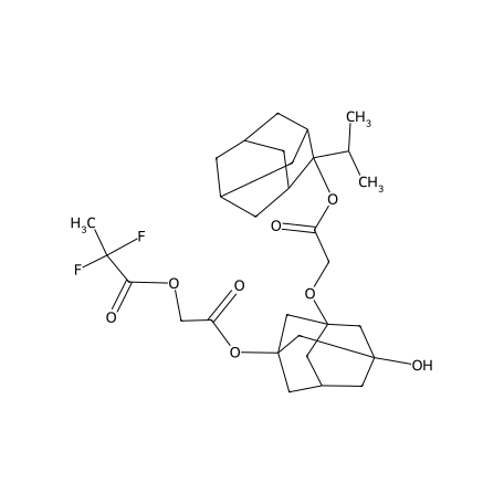 CC(C)C1(OC(=O)COC23CC4CC(O)(C2)CC(OC(=O)COC(=O)C(C)(F)F)(C4)C3)C2CC3CC(C2)CC1C3